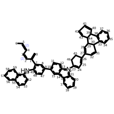 C=C(/C=C\C=C/C)c1cc(-c2ccc3c(c2)c2ccccc2n3C2=CC=C(C3=CC4C(C=C3)c3ccccc3C3C=CC=CC34)CC2)ccc1Nc1cccc2ccccc12